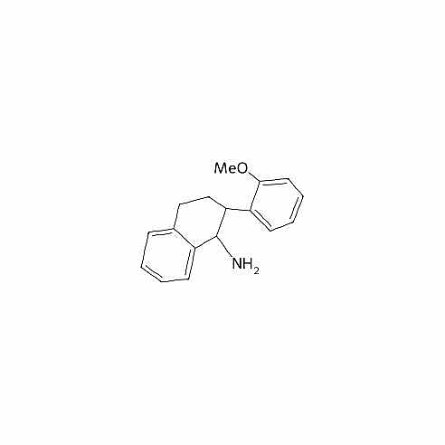 COc1ccccc1C1CCc2ccccc2C1N